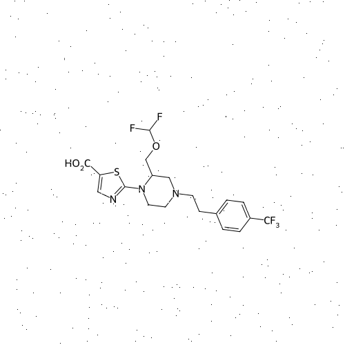 O=C(O)c1cnc(N2CCN(CCc3ccc(C(F)(F)F)cc3)CC2COC(F)F)s1